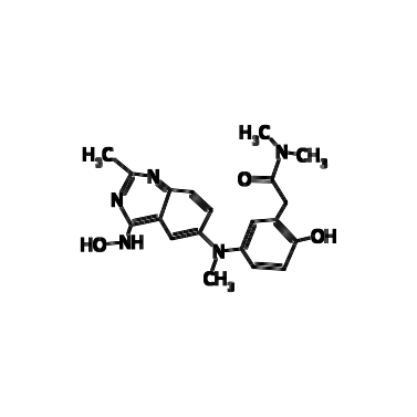 Cc1nc(NO)c2cc(N(C)c3ccc(O)c(CC(=O)N(C)C)c3)ccc2n1